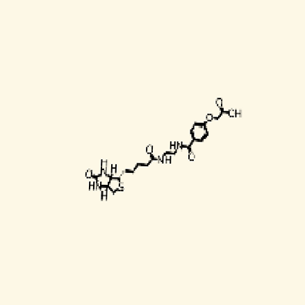 O=C(O)COc1ccc(C(=O)NCCNC(=O)CCCC[C@@H]2SC[C@@H]3NC(=O)N[C@@H]32)cc1